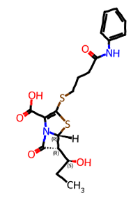 CC[C@H](O)[C@@H]1C(=O)N2C(C(=O)O)=C(SCCCC(=O)Nc3ccccc3)S[C@H]12